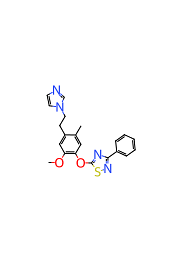 COc1cc(CCn2ccnc2)c(C)cc1Oc1nc(-c2ccccc2)ns1